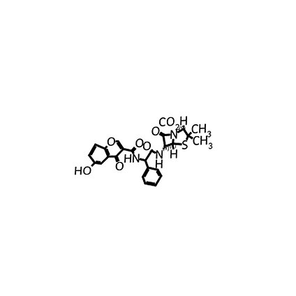 CC1(C)S[C@@H]2[C@H](NC(=O)C(NC(=O)c3coc4ccc(O)cc4c3=O)c3ccccc3)C(=O)N2[C@H]1C(=O)O